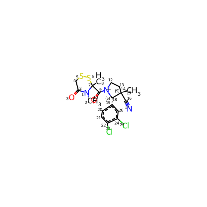 CN1C(=O)CSSC1(C)C(=O)N1CC[C@](C)(C#N)[C@@H]1c1ccc(Cl)c(Cl)c1